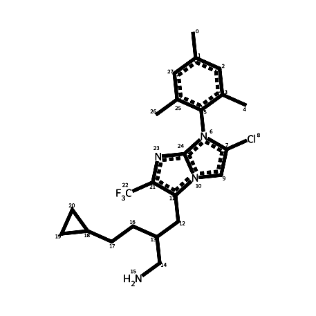 Cc1cc(C)c(-n2c(Cl)cn3c(CC(CN)CCC4CC4)c(C(F)(F)F)nc23)c(C)c1